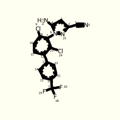 N#Cc1cc(N)n(-c2c(Cl)ccc(-c3ccc(C(F)(F)F)cc3)c2Cl)n1